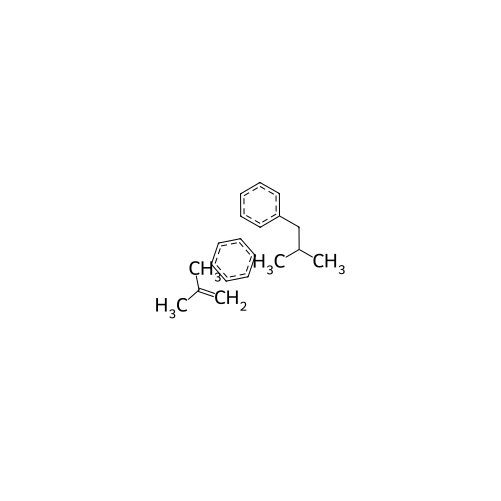 C=C(C)C.CC(C)Cc1ccccc1.c1ccccc1